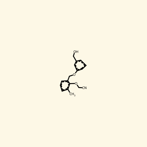 Cc1cccc(COc2cccc(CO)c2)c1OCC#N